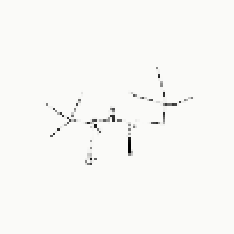 C[C@H](CC(C)(C)C)N[S@+]([O-])C(C)(C)C